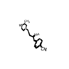 C[C@H]1CN(CCC(=N)Cc2ccc(C#N)cc2)CCN1